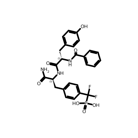 NC(=O)[C@H](Cc1ccc(C(F)(F)P(=O)(O)O)cc1)NC(=O)[C@H](Cc1ccc(O)cc1)NC(=O)c1ccccc1